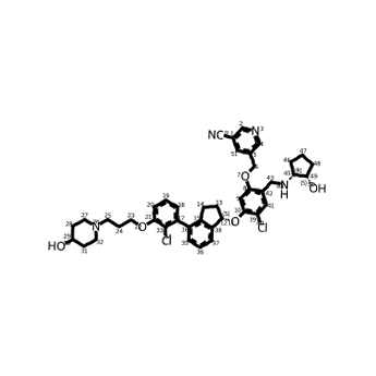 N#Cc1cncc(COc2cc(O[C@H]3CCc4c(-c5cccc(OCCCN6CCC(O)CC6)c5Cl)cccc43)c(Cl)cc2CN[C@@H]2CCC[C@@H]2O)c1